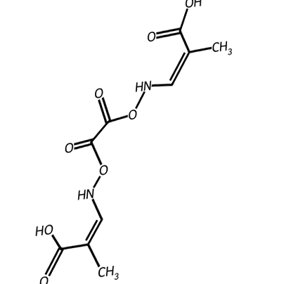 CC(=CNOC(=O)C(=O)ONC=C(C)C(=O)O)C(=O)O